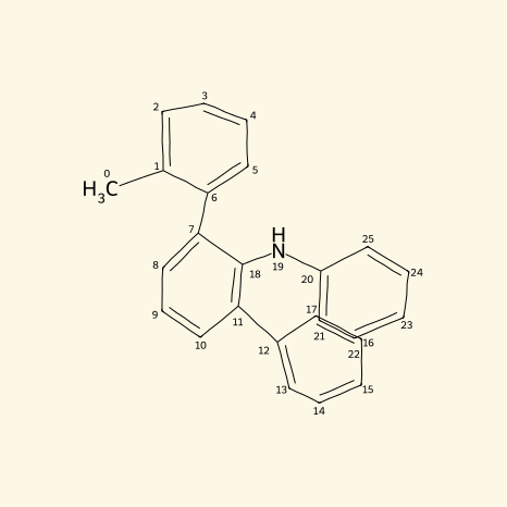 Cc1ccccc1-c1cccc(-c2ccccc2)c1Nc1ccccc1